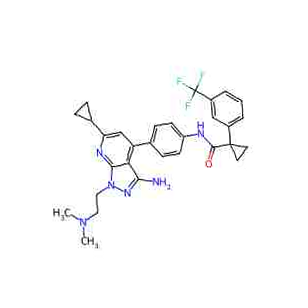 CN(C)CCn1nc(N)c2c(-c3ccc(NC(=O)C4(c5cccc(C(F)(F)F)c5)CC4)cc3)cc(C3CC3)nc21